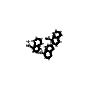 Oc1cccc2cccnc12.Oc1cccc2cccnc12.Oc1cccc2cccnc12.[Ir]